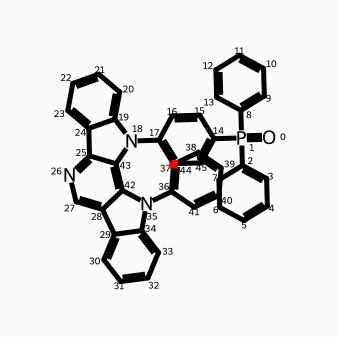 O=P(C1=CC=CCC1)(c1ccccc1)c1ccc(-n2c3ccccc3c3ncc4c5ccccc5n(-c5ccccc5)c4c32)cc1